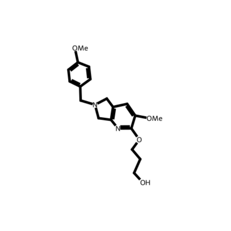 COc1ccc(CN2Cc3cc(OC)c(OCCCO)nc3C2)cc1